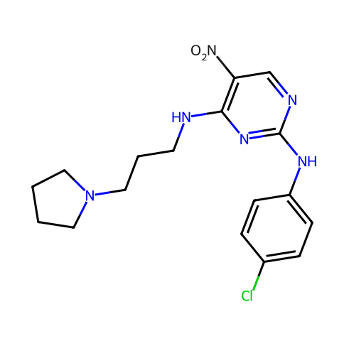 O=[N+]([O-])c1cnc(Nc2ccc(Cl)cc2)nc1NCCCN1CCCC1